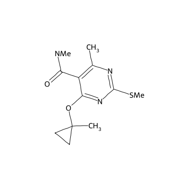 CNC(=O)c1c(C)nc(SC)nc1OC1(C)CC1